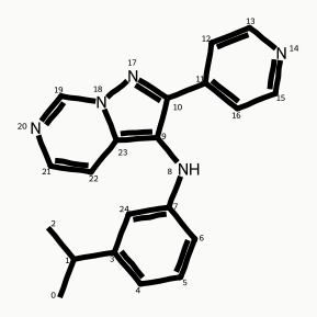 CC(C)c1cccc(Nc2c(-c3ccncc3)nn3cnccc23)c1